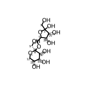 OCC1(O)OC(CO[C@]2(CO)OC[C@@H](O)[C@@H](O)[C@H]2O)[C@@H](O)[C@H]1O